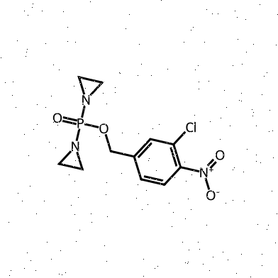 O=[N+]([O-])c1ccc(COP(=O)(N2CC2)N2CC2)cc1Cl